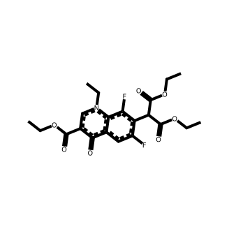 CCOC(=O)c1cn(CC)c2c(F)c(C(C(=O)OCC)C(=O)OCC)c(F)cc2c1=O